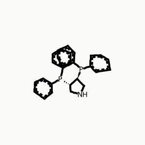 c1ccc(P(c2ccccc2)[C@H]2CNC[C@@H]2P(c2ccccc2)c2ccccc2)cc1